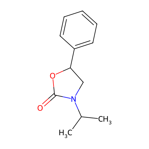 CC(C)N1CC(c2ccccc2)OC1=O